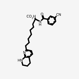 N#Cc1cccc(C(=O)NC(CCCCCCCc2ccc3c(n2)NCCC3)C(=O)O)c1